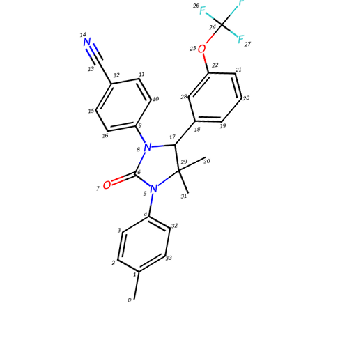 Cc1ccc(N2C(=O)N(c3ccc(C#N)cc3)C(c3cccc(OC(F)(F)F)c3)C2(C)C)cc1